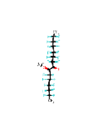 O=C(C(=O)C(F)(F)C(F)(F)C(F)(F)C(F)(F)C(F)(F)C(F)(F)C(F)(F)F)C(F)(F)C(F)(F)C(F)(F)C(F)(F)C(F)(F)C(F)(F)F.[Ag+]